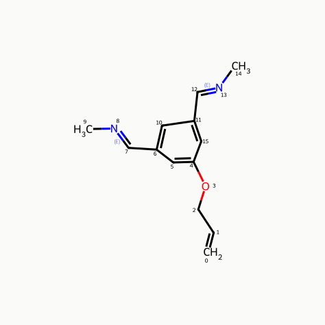 C=CCOc1cc(/C=N/C)cc(/C=N/C)c1